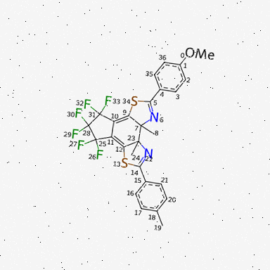 COc1ccc(C2=NC3(C)C(=C4C(=C5SC(c6ccc(C)cc6)=NC53C)C(F)(F)C(F)(F)C4(F)F)S2)cc1